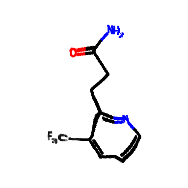 NC(=O)CCc1ncccc1C(F)(F)F